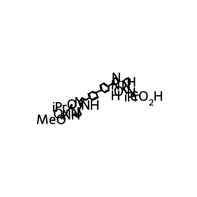 COC(=O)N[C@@H](C(=O)N1CCCC1c1ncc(-c2ccc(-c3ccc(-c4cnc([C@H]5CCCN5C(=O)[C@@H](NC(=O)O)C(C)C)[nH]4)cc3)cc2)[nH]1)C(C)C